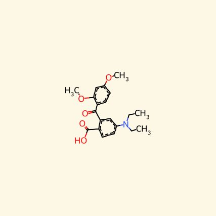 CCN(CC)c1ccc(C(=O)O)c(C(=O)c2ccc(OC)cc2OC)c1